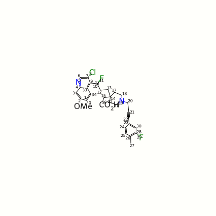 COc1ccc2ncc(Cl)c([C@@H](F)CCC3(CC(=O)O)CCN(CC#Cc4ccc(C)c(F)c4)CC3)c2c1